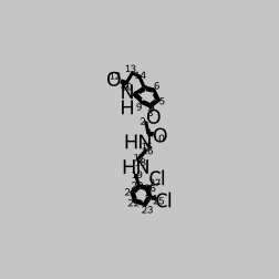 O=C(COc1ccc2c(c1)NC(=O)CC2)NCCNCc1cccc(Cl)c1Cl